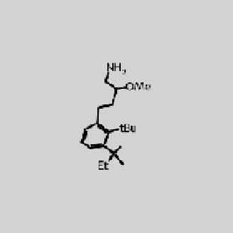 CCC(C)(C)c1cccc(CCC(CN)OC)c1C(C)(C)C